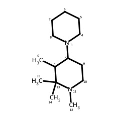 CC1C(N2CCCCC2)CCN(C)C1(C)C